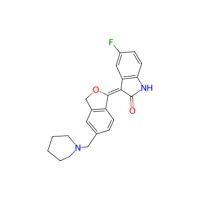 O=C1Nc2ccc(F)cc2/C1=C1\OCc2cc(CN3CCCCC3)ccc21